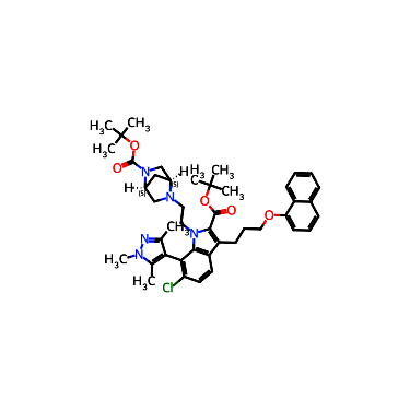 Cc1nn(C)c(C)c1-c1c(Cl)ccc2c(CCCOc3cccc4ccccc34)c(C(=O)OC(C)(C)C)n(CCN3C[C@@H]4C[C@H]3CN4C(=O)OC(C)(C)C)c12